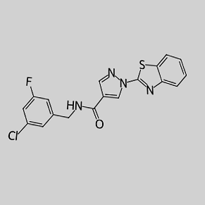 O=C(NCc1cc(F)cc(Cl)c1)c1cnn(-c2nc3ccccc3s2)c1